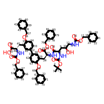 CC(C)(C)OC(=O)NC(CC(O)CNC(=O)OCc1ccccc1)C(=O)N[C@@H](Cc1cc(-c2ccc(OCc3ccccc3)c(C[C@H](NC(=O)OCc3ccccc3)C(=O)O)c2)ccc1OCc1ccccc1)C(=O)OCc1ccccc1